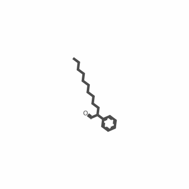 CCCCCCCCCCC([C]=O)c1ccccc1